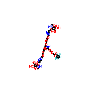 CC(=O)N[C@@H]1[C@@H](O)[C@@H](O)[C@@H](CO)C[C@H]1OCCc1cn(CCOCCOCCOCC(COCCOCCOCCn2cc(CCO[C@@H]3O[C@H](CO)[C@H](O)[C@H](O)[C@H]3NC(C)=O)nn2)NC(=O)CCOCCOCCC(=O)Oc2c(F)c(F)c(F)c(F)c2F)nn1